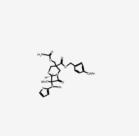 COc1ccc(COC(=O)C2(COC(N)=O)CS[C@H]3N(C2)C(=O)C3(OC)N(C(C)=O)c2cccs2)cc1